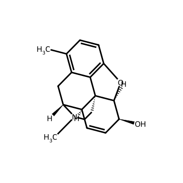 Cc1ccc2c3c1C[C@@H]1[C@@H]4C=C[C@H](O)[C@H](O2)[C@]34CCN1C